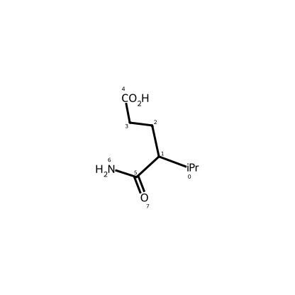 CC(C)C(CCC(=O)O)C(N)=O